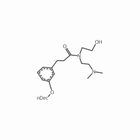 CCCCCCCCCCOc1cccc(CCC(=O)N(CCO)CCN(C)C)c1